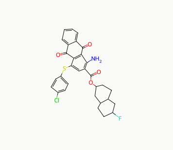 Nc1c(C(=O)OC2CCC3CC(F)CCC3C2)cc(Sc2ccc(Cl)cc2)c2c1C(=O)c1ccccc1C2=O